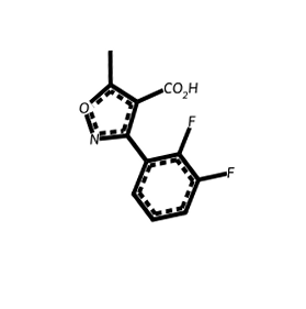 Cc1onc(-c2cccc(F)c2F)c1C(=O)O